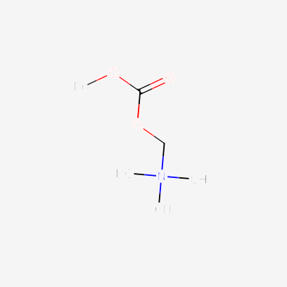 CCOC(=O)OC[N+](C)(C)C